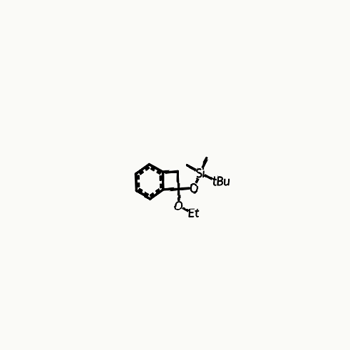 CCOC1(O[Si](C)(C)C(C)(C)C)Cc2ccccc21